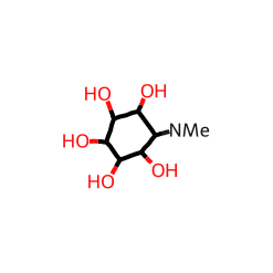 CNC1C(O)C(O)C(O)C(O)C1O